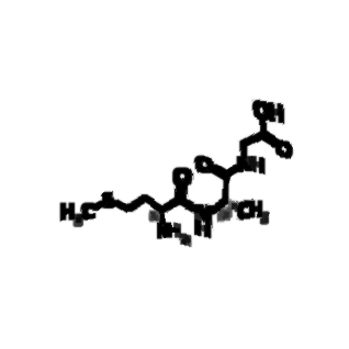 CSCC[C@H](N)C(=O)N[C@@H](C)C(=O)NCC(=O)O